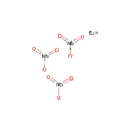 [O]=[Nb](=[O])[O-].[O]=[Nb](=[O])[O-].[O]=[Nb](=[O])[O-].[Sc+3]